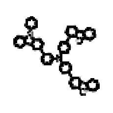 c1ccc(-n2c3ccccc3c3cc(-c4cccc(N(c5ccc(-c6ccc7oc8ccccc8c7c6)cc5)c5ccc(-c6cccc7c6oc6ccccc67)cc5)c4)ccc32)cc1